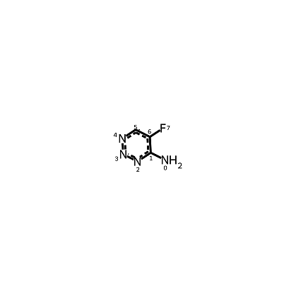 Nc1nnn[c]c1F